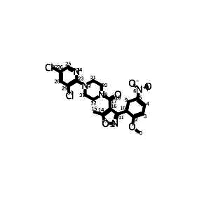 COC1=CC=C([N+](=O)[O-])CC1c1noc(C)c1C(=O)N1CCN(c2ncc(Cl)cc2Cl)CC1